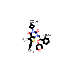 CC#Cc1sc2c(c1C)c(=O)n(C1CC(C(=O)O)C1)c(=O)n2C[C@H](OC1CCOCC1)c1ccccc1OC